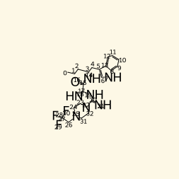 CCCC(Cc1c[nH]c2ccccc12)NC(=O)C(=N)NC(=N)N1CCN(CC(F)(F)F)CC1